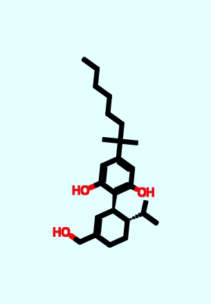 CCCCCCC(C)(C)c1cc(O)c([C@@H]2C=C(CO)CC[C@H]2C(C)C)c(O)c1